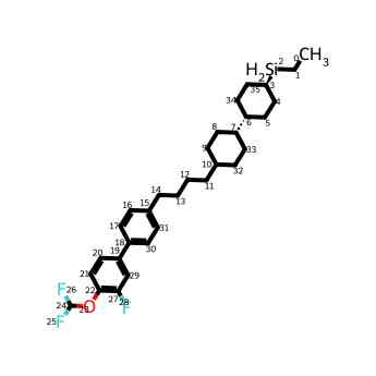 CC[SiH2][C@H]1CC[C@H](C2CCC(CCCCc3ccc(-c4ccc(OC(F)F)c(F)c4)cc3)CC2)CC1